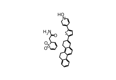 NC(=O)CC1C=CC=CS1(=O)=O.ON1C=CC(c2ccc(C3=Cc4ccc5c(c4CC3)CCc3ccccc3-5)s2)=CC1